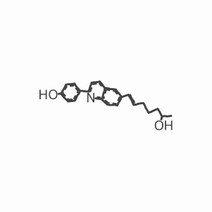 CC(O)CCCC=Cc1ccc2nc(-c3ccc(O)cc3)ccc2c1